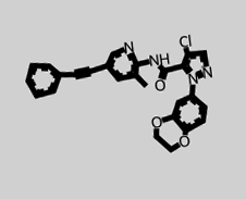 Cc1cc(C#Cc2ccccc2)cnc1NC(=O)c1c(Cl)cnn1-c1ccc2c(c1)OCCO2